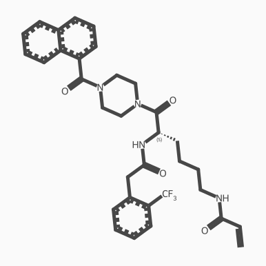 C=CC(=O)NCCCC[C@H](NC(=O)Cc1ccccc1C(F)(F)F)C(=O)N1CCN(C(=O)c2cccc3ccccc23)CC1